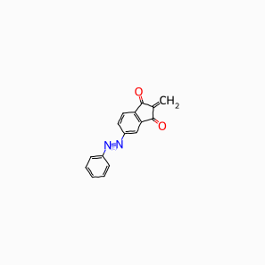 C=C1C(=O)c2ccc(/N=N/c3ccccc3)cc2C1=O